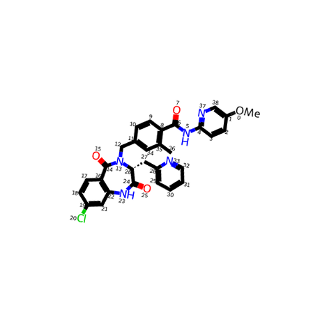 COc1ccc(NC(=O)c2ccc(CN3C(=O)c4ccc(Cl)cc4NC(=O)[C@H]3Cc3ccccn3)cc2C)nc1